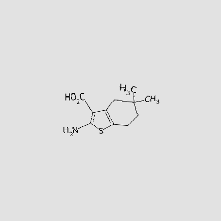 CC1(C)CCc2sc(N)c(C(=O)O)c2C1